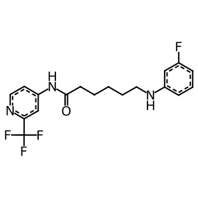 O=C(CCCCCNc1cccc(F)c1)Nc1ccnc(C(F)(F)F)c1